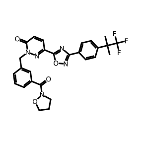 CC(C)(c1ccc(-c2noc(-c3ccc(=O)n(Cc4cccc(C(=O)N5CCCO5)c4)n3)n2)cc1)C(F)(F)F